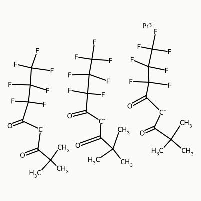 CC(C)(C)C(=O)[CH-]C(=O)C(F)(F)C(F)(F)C(F)(F)F.CC(C)(C)C(=O)[CH-]C(=O)C(F)(F)C(F)(F)C(F)(F)F.CC(C)(C)C(=O)[CH-]C(=O)C(F)(F)C(F)(F)C(F)(F)F.[Pr+3]